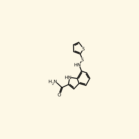 NC(=O)c1cc2cccc(NSc3cccs3)c2[nH]1